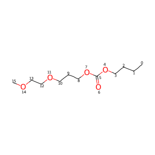 CCCCOC(=O)OCCCOCCOC